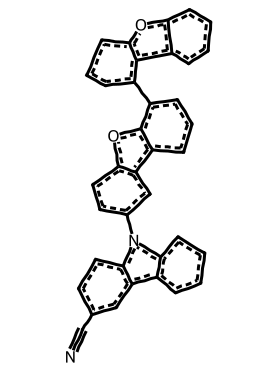 N#Cc1ccc2c(c1)c1ccccc1n2-c1ccc2oc3c(-c4cccc5oc6ccccc6c45)cccc3c2c1